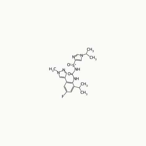 CC(C)c1cc(F)cc(-c2cnn(C)c2)c1NC(=O)N[S+]([O-])c1cn(C(C)C)cn1